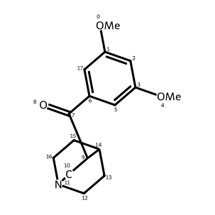 COc1cc(OC)cc(C(=O)C2CN3CCC2CC3)c1